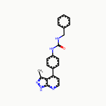 Cc1n[nH]c2nccc(-c3ccc(NC(=O)NCc4ccccc4)cc3)c12